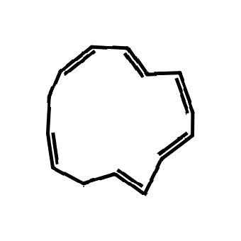 [CH]1/C=C\C\C=C/C=C/C=C\C=C\C=C\1